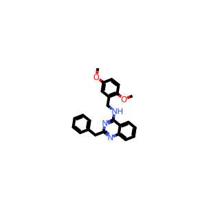 COc1ccc(OC)c(CNc2nc(Cc3ccccc3)nc3ccccc23)c1